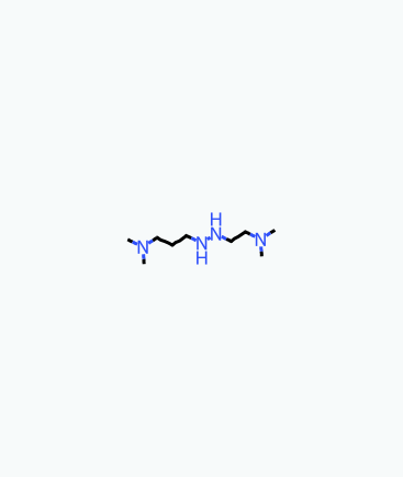 CN(C)CCCNNCCN(C)C